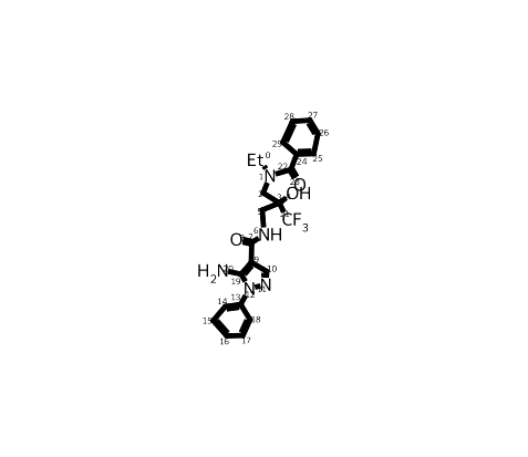 CCN(CC(O)(CNC(=O)c1cnn(-c2ccccc2)c1N)C(F)(F)F)C(=O)c1ccccc1